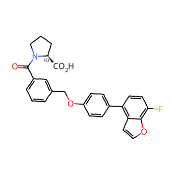 O=C(O)[C@@H]1CCCN1C(=O)c1cccc(COc2ccc(-c3ccc(F)c4occc34)cc2)c1